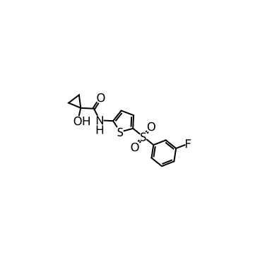 O=C(Nc1ccc(S(=O)(=O)c2cccc(F)c2)s1)C1(O)CC1